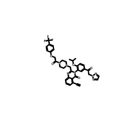 C#Cc1cccc2nc(CN3CCN(C(=O)COc4ccc(C(F)(F)F)cc4)CC3)n(-c3cc(C(=O)Cn4nccn4)ccc3OC(C)C)c(=O)c12